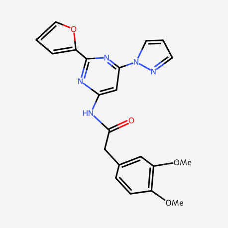 COc1ccc(CC(=O)Nc2cc(-n3cccn3)nc(-c3ccco3)n2)cc1OC